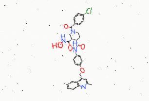 Cc1cc(COc2ccc(NC(=O)[C@H]3CCN(C(=O)c4ccc(Cl)cc4)C[C@@H]3C(=O)NO)cc2)c2ccccc2n1